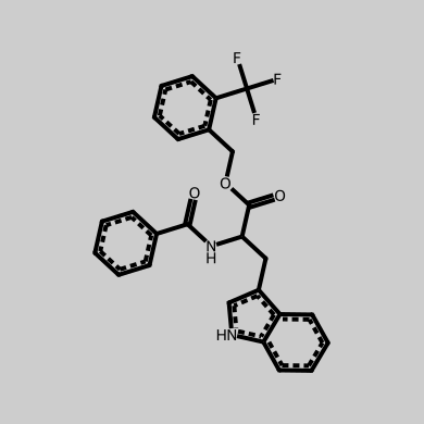 O=C(NC(Cc1c[nH]c2ccccc12)C(=O)OCc1ccccc1C(F)(F)F)c1ccccc1